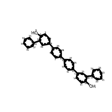 Oc1ccc(-c2ccc(-c3ccc(-c4ccc(O)c(-c5ccccc5)c4)cc3)cc2)cc1-c1ccccc1